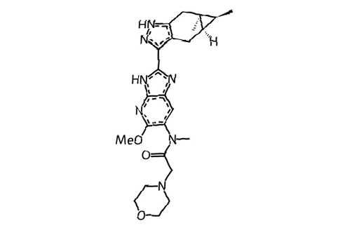 COc1nc2[nH]c(-c3n[nH]c4c3C[C@@H]3[C@H](C)[C@]3(C)C4)nc2cc1N(C)C(=O)CN1CCOCC1